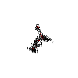 Cc1c[nH]c2c(OC(=S)N(C)CCN(C)C(=S)OCc3ccc(NC(=O)C(CCCNC(N)=O)NC(=O)C(NC(=O)CCOCCOCCOCCOCCOCCOCCN4C(=O)C=CC4=O)C(C)C)cc3)cc3c(c12)C(CCl)CN3C(=O)C12CC(C(=O)N3CC(CCl)c4c3cc(OP(=O)(O)O)c3[nH]cc(C)c43)(C1)C2